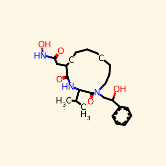 CC(C)C1NC(=O)C(CC(=O)NO)CCCCCCCCN(CC(O)c2ccccc2)C1=O